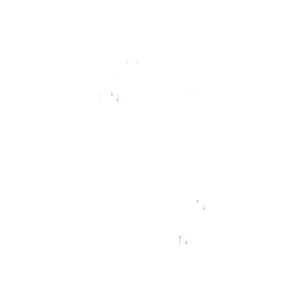 C=CC(=O)Nc1cc(F)cc(-c2ccc3cncnc3c2)c1